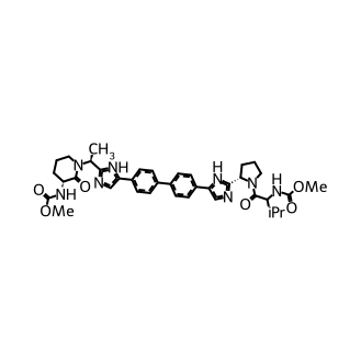 COC(=O)NC(C(=O)N1CCC[C@H]1c1ncc(-c2ccc(-c3ccc(-c4cnc([C@H](C)N5CCC[C@@H](NC(=O)OC)C5=O)[nH]4)cc3)cc2)[nH]1)C(C)C